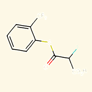 O=C(O)C(F)C(=O)Sc1ccccc1C(F)(F)F